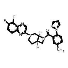 Cc1ccc(-n2cccn2)c(C(=O)N2C[C@H]3CCN(c4cnc5c(F)c(F)ccc5n4)C[C@H]32)c1